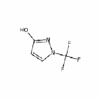 Oc1ccn(C(F)(F)F)n1